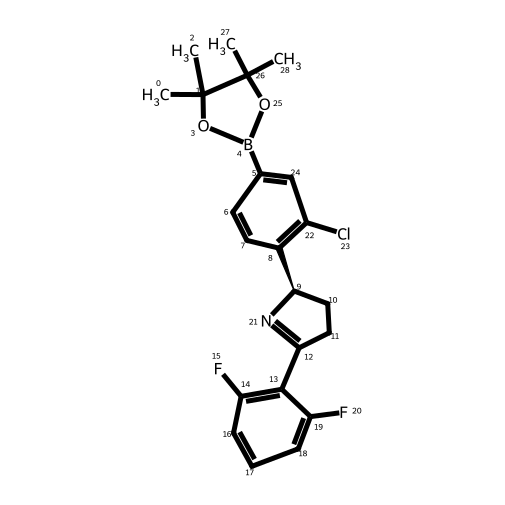 CC1(C)OB(c2ccc([C@H]3CCC(c4c(F)cccc4F)=N3)c(Cl)c2)OC1(C)C